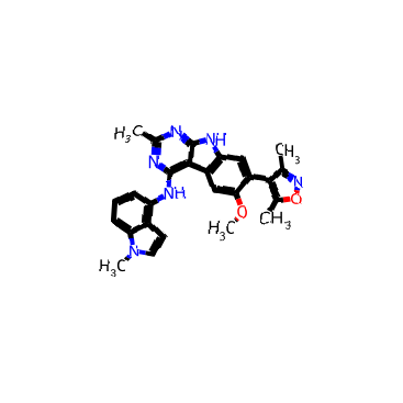 COc1cc2c(cc1-c1c(C)noc1C)[nH]c1nc(C)nc(Nc3cccc4c3ccn4C)c12